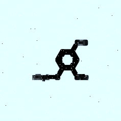 CCCCCCCOc1ccc(C=O)cc1OC